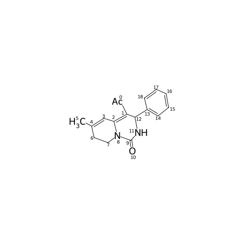 CC(=O)C1=C2C=C(C)CCN2C(=O)NC1c1ccccc1